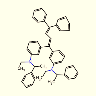 CCN(c1cccc(C(=CC=C(c2ccccc2)c2ccccc2)c2cccc(N(CC)C(C)c3ccccc3)c2)c1)C(C)c1ccccc1